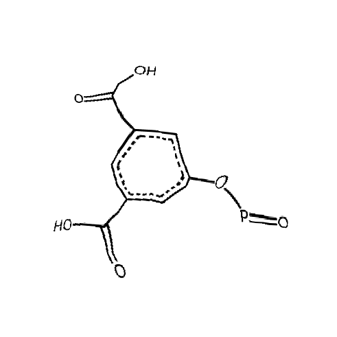 O=POc1cc(C(=O)O)cc(C(=O)O)c1